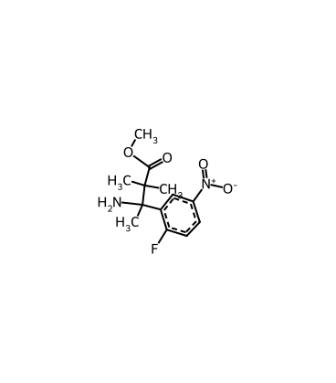 COC(=O)C(C)(C)C(C)(N)c1cc([N+](=O)[O-])ccc1F